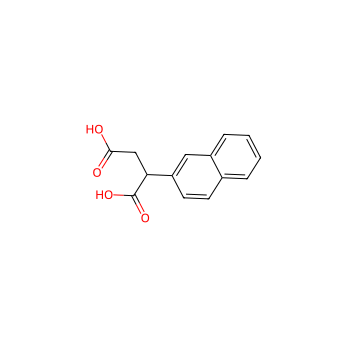 O=C(O)CC(C(=O)O)c1ccc2ccccc2c1